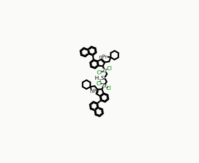 CCCC1(CC2=Cc3c(-c4cccc5ccccc45)cccc3[CH]2[Zr]([Cl])([Cl])[CH2][SiH2][CH2][Zr]([Cl])([Cl])[CH]2C(CC3(CCC)CCCCC3)=Cc3c(-c4cccc5ccccc45)cccc32)CCCCC1